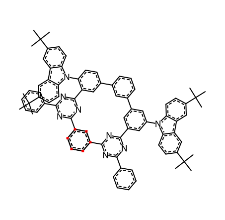 CC(C)(C)c1ccc2c(c1)c1cc(C(C)(C)C)ccc1n2-c1cc(-c2cccc(-c3ccc(-n4c5ccc(C(C)(C)C)cc5c5cc(C(C)(C)C)ccc54)c(-c4nc(-c5ccccc5)nc(-c5ccccc5)n4)c3)c2)cc(-c2nc(-c3ccccc3)nc(-c3ccccc3)n2)c1